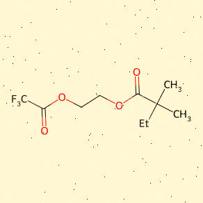 CCC(C)(C)C(=O)OCCOC(=O)C(F)(F)F